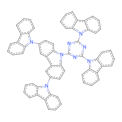 c1ccc2c(c1)c1ccccc1n2-c1ccc2c(c1)c1cc(-n3c4ccccc4c4ccccc43)ccc1n2-c1nc(-n2c3ccccc3c3ccccc32)nc(-n2c3ccccc3c3ccccc32)n1